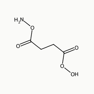 NOC(=O)CCC(=O)OO